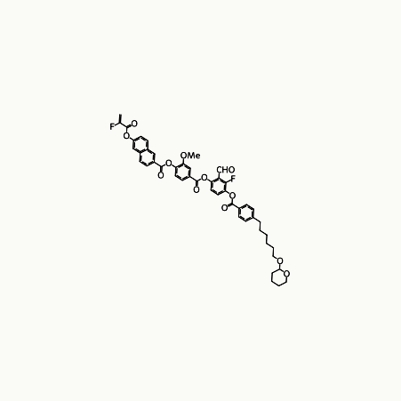 C=C(F)C(=O)Oc1ccc2cc(C(=O)Oc3ccc(C(=O)Oc4ccc(OC(=O)c5ccc(CCCCCCOC6CCCCO6)cc5)c(F)c4C=O)cc3OC)ccc2c1